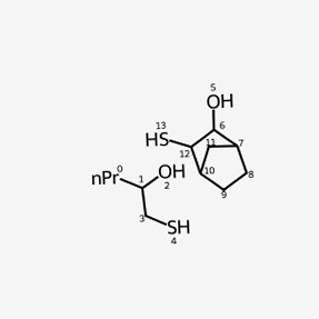 CCCC(O)CS.OC1C2CCC(C2)C1S